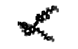 CCCCCCSc1cc2c(cc1C#Cc1ccc(OC(=O)CCC)nn1)C(CC)(CC)CCO2